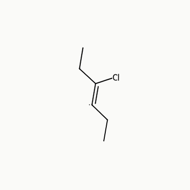 CC/[C]=C(\Cl)CC